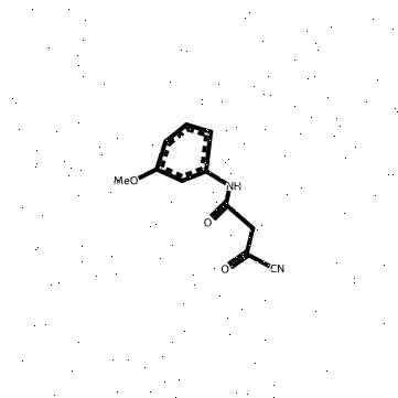 COc1cccc(NC(=O)CC(=O)C#N)c1